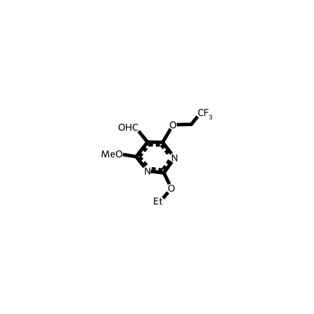 CCOc1nc(OC)c(C=O)c(OCC(F)(F)F)n1